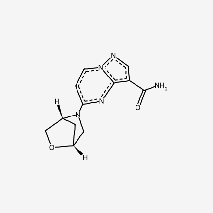 NC(=O)c1cnn2ccc(N3C[C@H]4C[C@@H]3CO4)nc12